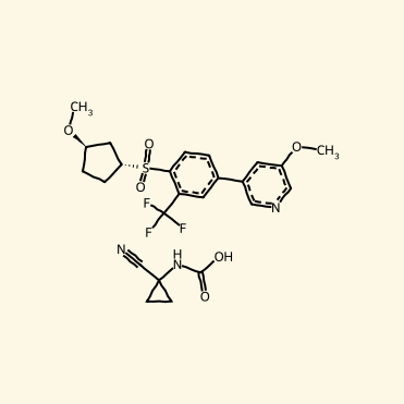 COc1cncc(-c2ccc(S(=O)(=O)[C@@H]3CC[C@@H](OC)C3)c(C(F)(F)F)c2)c1.N#CC1(NC(=O)O)CC1